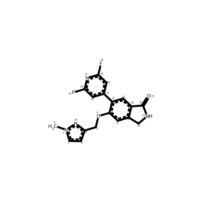 Cn1ccc(COc2cc3c(cc2-c2cc(F)nc(F)c2)C(=O)NC3)n1